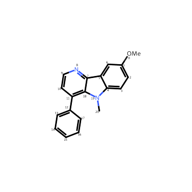 COc1ccc2c(c1)c1nccc(-c3ccccc3)c1n2C